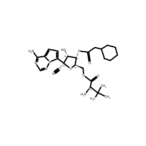 CC(C)(C)[C@@H](N)C(=O)OC[C@H]1O[C@@](C#N)(c2ccc3c(N)ncnn23)[C@H](O)[C@@H]1OC(=O)CC1CCCCC1